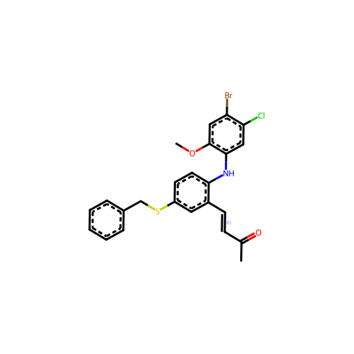 COc1cc(Br)c(Cl)cc1Nc1ccc(SCc2ccccc2)cc1/C=C/C(C)=O